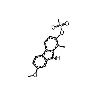 COc1ccc2c(c1)[nH]c1c(C)c(OS(C)(=O)=O)ccc12